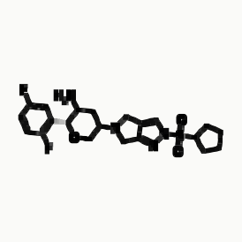 NC1CC(N2Cc3cn(S(=O)(=O)C4CCCC4)nc3C2)CO[C@@H]1c1cc(F)ccc1F